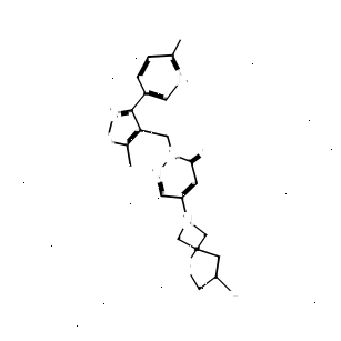 Cc1ccc(-c2noc(C)c2Cn2ncc(N3CC4(CC(F)CO4)C3)cc2=O)cn1